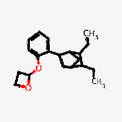 CCC1C2CC(c3ccccc3OC3CCO3)C(C2)C1CC